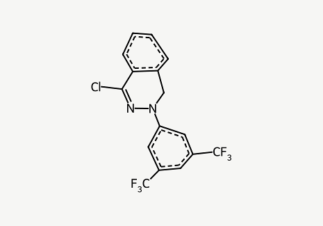 FC(F)(F)c1cc(N2Cc3ccccc3C(Cl)=N2)cc(C(F)(F)F)c1